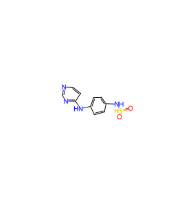 O=[SH](=O)Nc1ccc(Nc2ccncn2)cc1